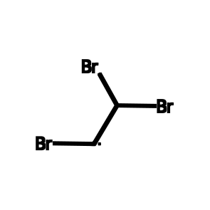 Br[CH]C(Br)Br